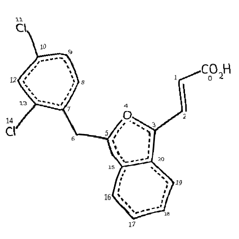 O=C(O)C=Cc1oc(Cc2ccc(Cl)cc2Cl)c2ccccc12